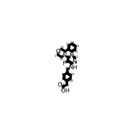 O=C(O)Cc1ccc(CNc2ncnc(N3CCOCC3c3ccccc3)c2F)cc1